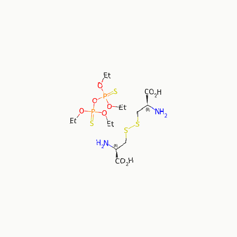 CCOP(=S)(OCC)OP(=S)(OCC)OCC.N[C@@H](CSSC[C@H](N)C(=O)O)C(=O)O